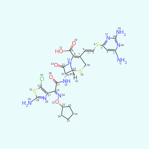 Nc1cc(S/C=C/C2=C(C(=O)O)N3C(=O)[C@@H](NC(=O)C(=NOC4CCCC4)c4nc(N)sc4Cl)[C@H]3SC2)nc(N)n1